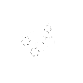 COc1cc(-c2ccc(F)c(C)c2NC(=O)N=[S@](N)(=O)c2cnn3c2O[C@@H](C)C3)ccn1